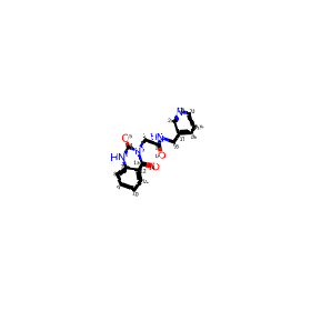 O=C(Cn1c(=O)[nH]c2ccccc2c1=O)NCc1cccnc1